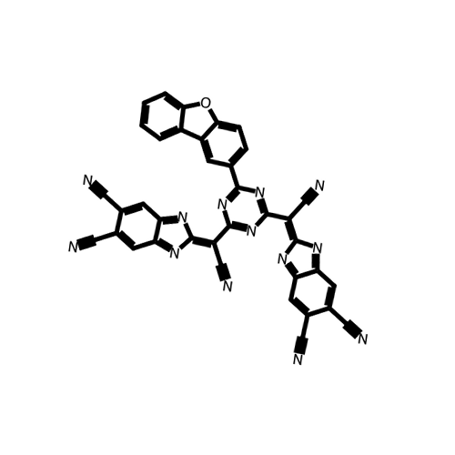 N#CC(=C1N=c2cc(C#N)c(C#N)cc2=N1)c1nc(C(C#N)=C2N=c3cc(C#N)c(C#N)cc3=N2)nc(-c2ccc3oc4ccccc4c3c2)n1